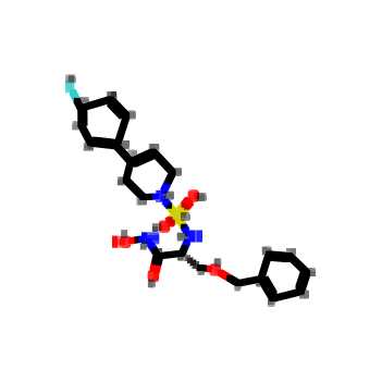 O=C(NO)[C@@H](COCc1ccccc1)NS(=O)(=O)N1CC=C(c2ccc(F)cc2)CC1